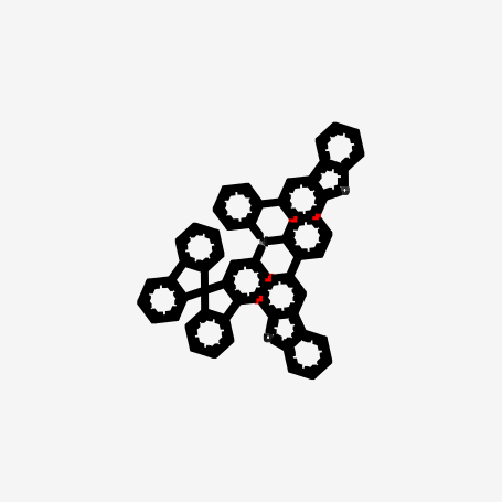 c1ccc(N(c2ccc3c(c2)C2(c4ccccc4-c4ccccc42)c2ccccc2-3)c2ccccc2-c2ccc3oc4ccccc4c3c2)c(-c2ccc3oc4ccccc4c3c2)c1